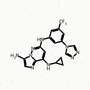 Nc1cnc2c(NC3CC3)cc(Nc3cc(-n4cnnc4)cc(C(F)(F)F)c3)nn12